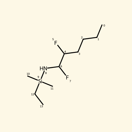 CCCCC(F)C(F)N[Si](C)(C)CC